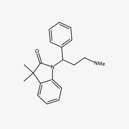 CNCCC(c1ccccc1)N1C(=O)C(C)(C)c2ccccc21